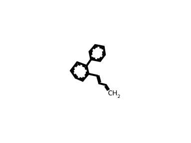 C=CC=Cc1ccccc1-c1ccccc1